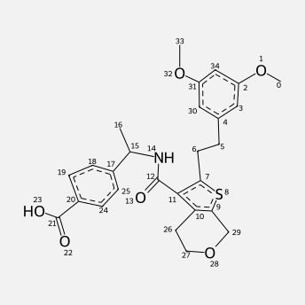 COc1cc(CCc2sc3c(c2C(=O)NC(C)c2ccc(C(=O)O)cc2)CCOC3)cc(OC)c1